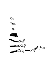 C=C.CC(=O)O.CC(=O)O.CC(=O)O.CC(=O)O.N.N.[Cu].[NaH].[NaH]